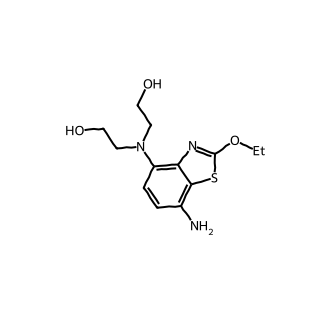 CCOc1nc2c(N(CCO)CCO)ccc(N)c2s1